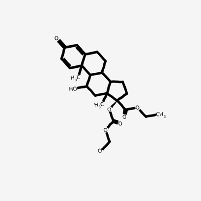 CCOC(=O)[C@@]1(OC(=O)OCCl)CCC2C3CCC4=CC(=O)C=CC4(C)C3C(O)CC21C